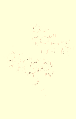 CC(=O)[C@]1(O)Cc2c(O)c3c(c(O)c2[C@@H](O[C@H]2C[C@H](N)[C@H](O)[C@H](C)O2)C1)C(=O)c1ccccc1C3=O.CCCCC(=O)OCC(=O)[C@]1(O)Cc2c(O)c3c(c(O)c2[C@@H](O[C@H]2C[C@H](NC(=O)C(F)(F)F)[C@H](O)[C@H](C)O2)C1)C(=O)c1c(OC)cccc1C3=O